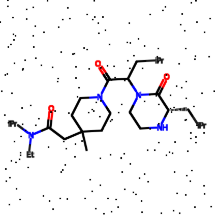 CCN(C(=O)CC1(C)CCN(C(=O)C(CC(C)C)N2CCN[C@@H](CC(C)C)C2=O)CC1)C(C)C